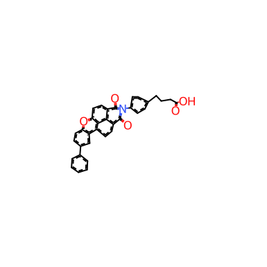 O=C(O)CCCc1ccc(-n2c(=O)c3ccc4oc5ccc(-c6ccccc6)cc5c5ccc(c2=O)c3c45)cc1